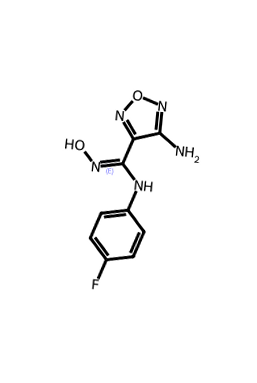 Nc1nonc1/C(=N\O)Nc1ccc(F)cc1